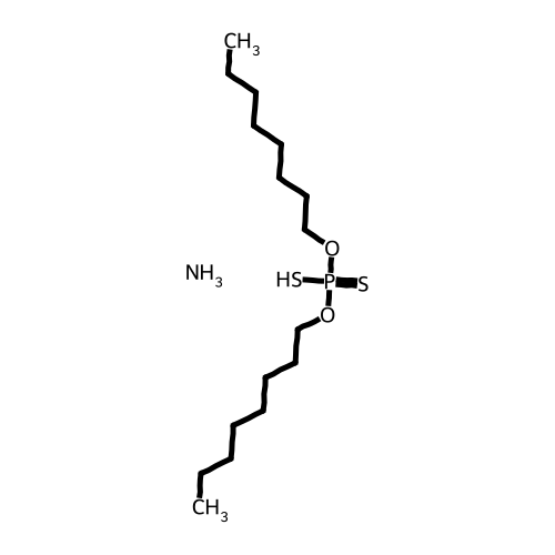 CCCCCCCCOP(=S)(S)OCCCCCCCC.N